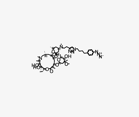 CC[C@H]1OC(=O)[C@H](C)[C@@H](O[C@H]2C[C@@](C)(OC)[C@@H](O)[C@H](C)O2)C[C@@H](O[C@H]2C[C@@H](N(C)CCc3cn(CCCCc4ccc(N=[N+]=[N-])cc4)nn3)C[C@@H](C)O2)[C@](C)(O)C[C@@H](C)CN(C)[C@H](C)[C@@H](O)[C@]1(C)O